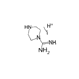 CI.N=C(N)N1CCNCC1.[H+]